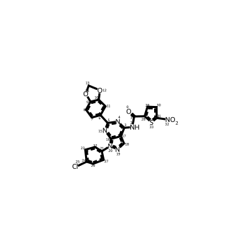 O=C(Nc1nc(-c2ccc3c(c2)OCO3)nc2c1cnn2-c1ccc(Cl)cc1)c1ccc([N+](=O)[O-])s1